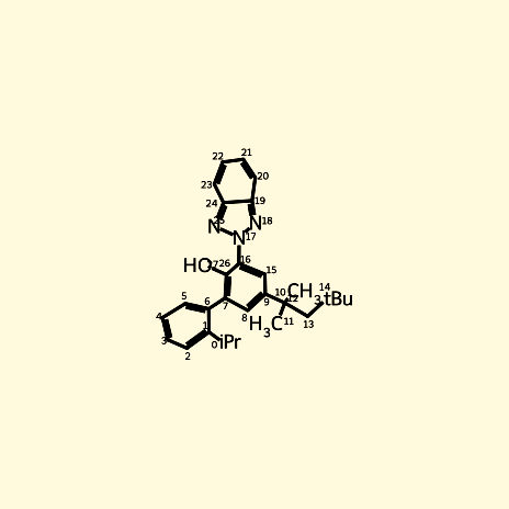 CC(C)c1ccccc1-c1cc(C(C)(C)CC(C)(C)C)cc(-n2nc3ccccc3n2)c1O